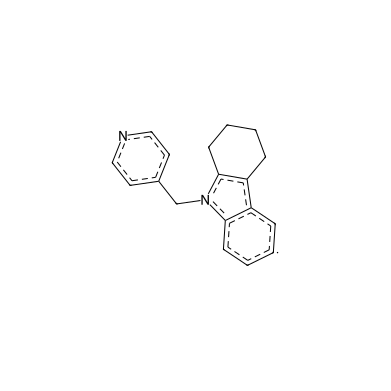 [c]1ccc2c(c1)c1c(n2Cc2ccncc2)CCCC1